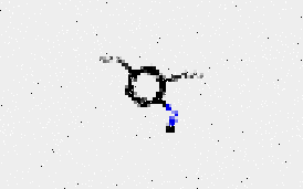 C=Nc1ccc(NC)cc1NC